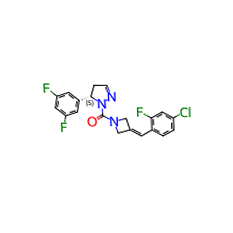 O=C(N1CC(=Cc2ccc(Cl)cc2F)C1)N1N=CC[C@H]1c1cc(F)cc(F)c1